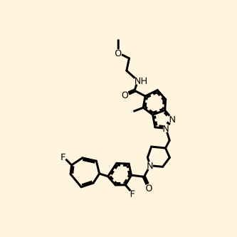 COCCNC(=O)c1ccc2nn(CC3CCN(C(=O)c4ccc(C5C=CC=C(F)C=C5)cc4F)CC3)cc2c1C